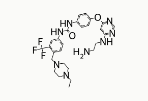 CCN1CCN(Cc2ccc(NC(=O)Nc3ccc(Oc4cc(NCCN)ncn4)cc3)cc2C(F)(F)F)CC1